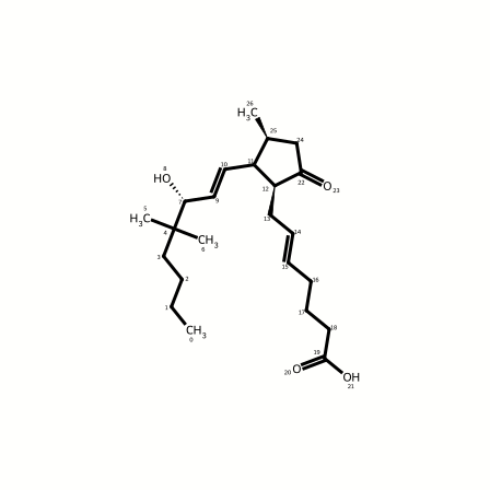 CCCCC(C)(C)[C@H](O)/C=C/C1[C@H](C/C=C/CCCC(=O)O)C(=O)C[C@@H]1C